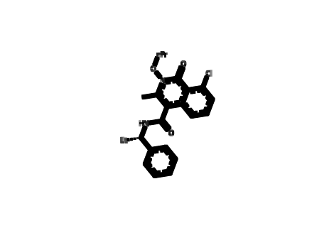 CCCOn1c(C)c(C(=O)N[C@@H](CC)c2ccccc2)c2cccc(Cl)c2c1=O